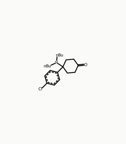 CCCCN(CCCC)C1(c2ccc(Cl)cc2)CCC(=O)CC1